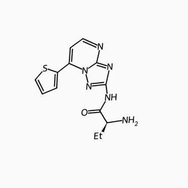 CC[C@H](N)C(=O)Nc1nc2nccc(-c3cccs3)n2n1